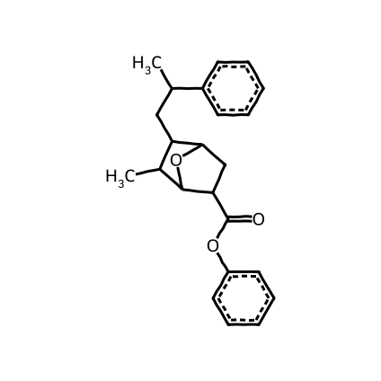 CC(CC1C2CC(C(=O)Oc3ccccc3)C(O2)C1C)c1ccccc1